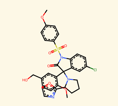 COc1ccc(S(=O)(=O)N2C(=O)C(c3cc(CO)ccc3OC)(N3CCCC3c3ncco3)c3cc(Cl)ccc32)cc1